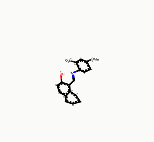 COc1ccc(N=Cc2c(O)ccc3ccccc23)c([N+](=O)[O-])c1